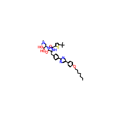 CCCCCCCOc1ccc(-c2cnc(-c3ccc(C[C@H](NC(=O)c4ccc(C(C)(C)C)s4)C(=O)NC(CN(C)C)C(O)O)cc3)nc2)cc1